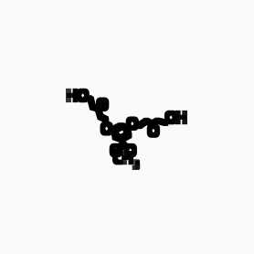 COC(=O)c1cc(OCCC(=O)CCO)cc(OCCC(=O)CCO)c1